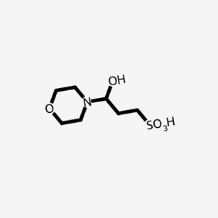 O=S(=O)(O)CCC(O)N1CCOCC1